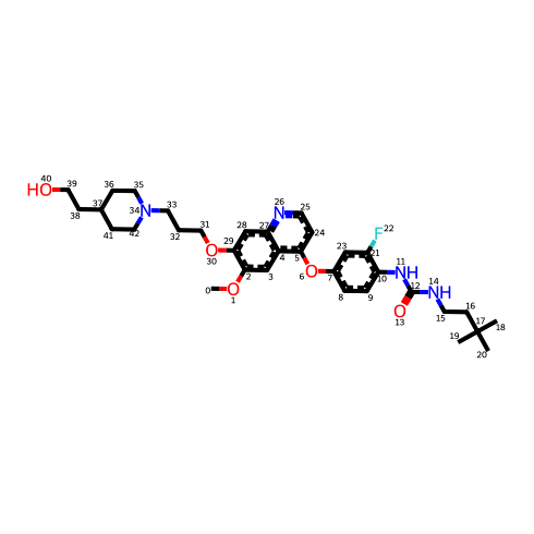 COc1cc2c(Oc3ccc(NC(=O)NCCC(C)(C)C)c(F)c3)ccnc2cc1OCCCN1CCC(CCO)CC1